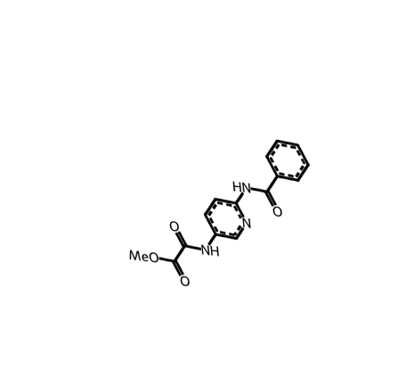 COC(=O)C(=O)Nc1ccc(NC(=O)c2ccccc2)nc1